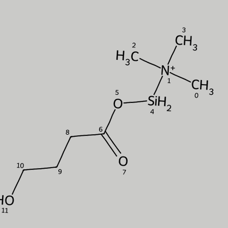 C[N+](C)(C)[SiH2]OC(=O)CCCO